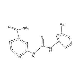 CC(=O)c1cccc(NC(=O)Nc2cc(C(N)=O)ccn2)c1